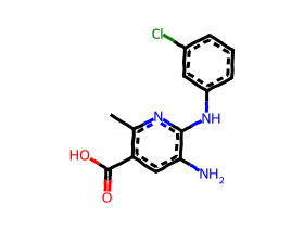 Cc1nc(Nc2cccc(Cl)c2)c(N)cc1C(=O)O